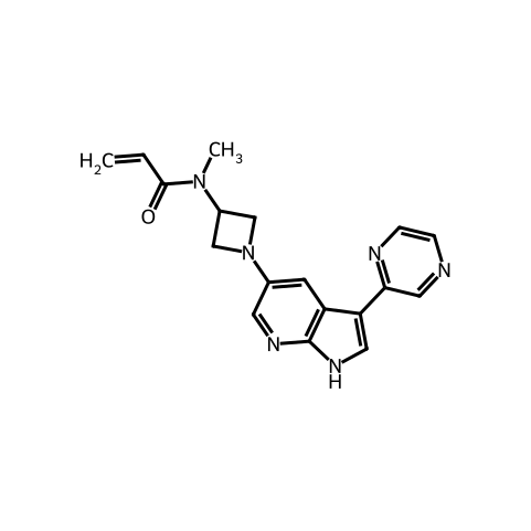 C=CC(=O)N(C)C1CN(c2cnc3[nH]cc(-c4cnccn4)c3c2)C1